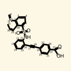 C=Nc1cccc(S(=O)(=O)Nc2ccccc2C#Cc2ccc(C(=O)O)cc2)c1/C=C\C